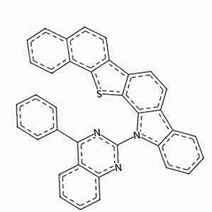 c1ccc(-c2nc(-n3c4ccccc4c4ccc5c6ccc7ccccc7c6sc5c43)nc3ccccc23)cc1